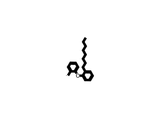 [CH2]c1ccccc1Oc1ccccc1CCCCCCCC